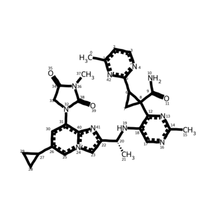 Cc1ccnc(C2CC2(C(N)=O)c2nc(C)ncc2N[C@H](C)c2cn3cc(C4CC4)cc(N4CC(=O)N(C)C4=O)c3n2)n1